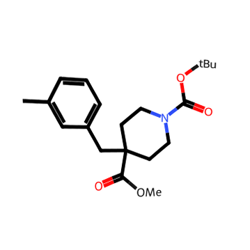 COC(=O)C1(Cc2cccc(C)c2)CCN(C(=O)OC(C)(C)C)CC1